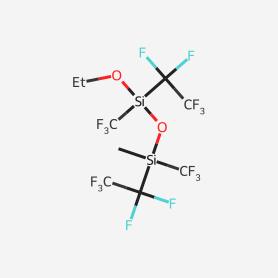 CCO[Si](O[Si](C)(C(F)(F)F)C(F)(F)C(F)(F)F)(C(F)(F)F)C(F)(F)C(F)(F)F